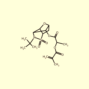 C=C(C)C(=O)OC(C)C(=O)OC1C2CC3C(O2)C1N(C(C)(C)C)S3(=O)=O